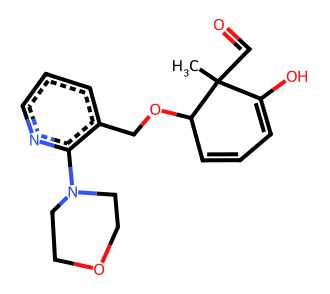 CC1(C=O)C(O)=CC=CC1OCc1cccnc1N1CCOCC1